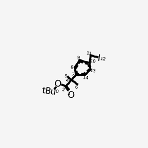 CC(C)(C)OC(=O)C(C)(C)c1ccc(CI)cc1